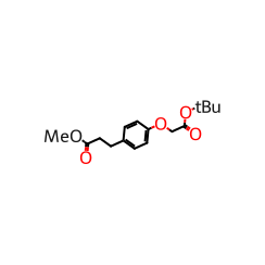 COC(=O)CCc1ccc(OCC(=O)OC(C)(C)C)cc1